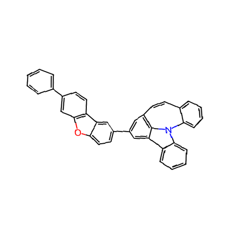 C1=Cc2cc(-c3ccc4oc5cc(-c6ccccc6)ccc5c4c3)cc3c4ccccc4n(c23)-c2ccccc21